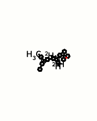 [2H]c1cc2c3cc(-c4ccc(N(c5ccc(C)cc5)c5ccc(-c6ccccc6)cc5)cc4)c([2H])cc3n(-c3ccc4c(c3)C(c3ccccc3)(c3ccccc3)c3ccccc3-4)c2cc1[2H]